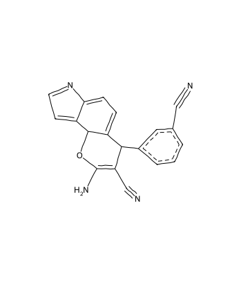 N#CC1=C(N)OC2C3=CC=NC3=CC=C2C1c1cccc(C#N)c1